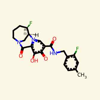 Cc1ccc(CNC(=O)c2cn3c(c(O)c2=O)C(=O)N2CCC[C@@H](F)[C@@H]3C2)c(F)c1